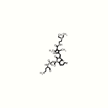 CCN(CC)CCNC(=O)c1c(C)[nH]c(/C=C2\C(=O)N(C(=O)NS(=O)(=O)NC(C=O)CCN)c3ccc(F)cc32)c1C